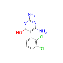 Nc1nc(N)c(-c2cccc(Cl)c2Cl)c(O)n1